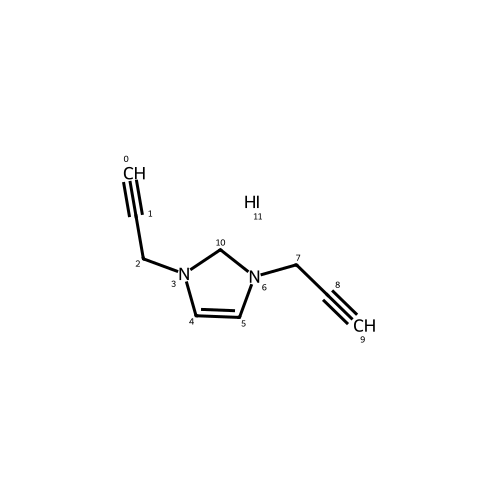 C#CCN1C=CN(CC#C)C1.I